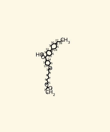 C=CC(=O)OCCCCCCOC1CCC(C(OO)C2CCC(C3CCC(CCC)CC3)CC2)CC1